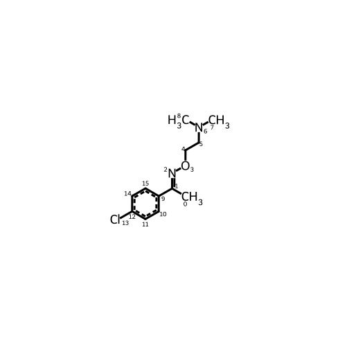 CC(=NOCCN(C)C)c1ccc(Cl)cc1